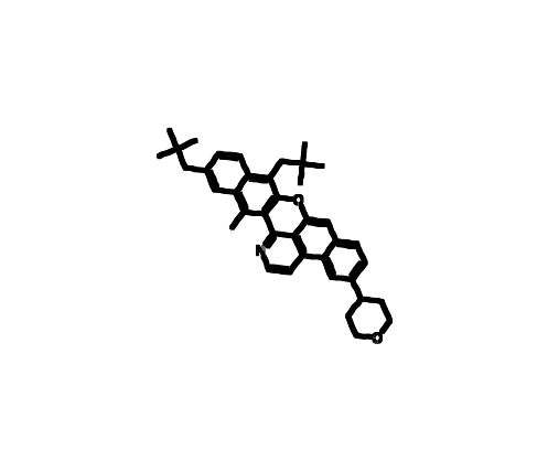 Cc1c2c(c(CC(C)(C)C)c3ccc(CC(C)(C)C)cc13)Oc1cc3ccc(C4CCOCC4)cc3c3ccnc-2c13